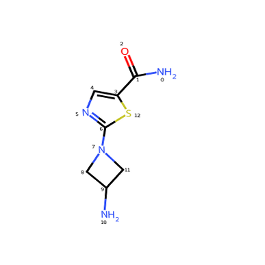 NC(=O)c1cnc(N2CC(N)C2)s1